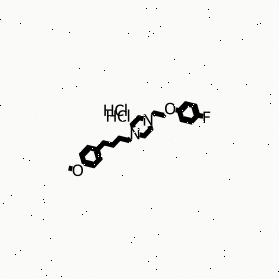 COc1ccc(CCCCN2CCN(CCOc3ccc(F)cc3)CC2)cc1.Cl.Cl